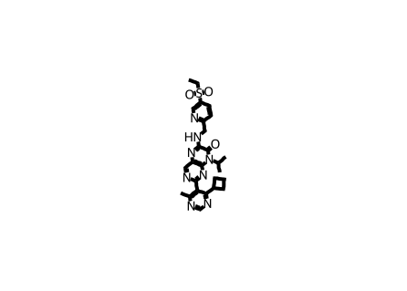 CCS(=O)(=O)c1ccc(CNc2nc3cnc(-c4c(C)ncnc4C4CCC4)nc3n(C(C)C)c2=O)nc1